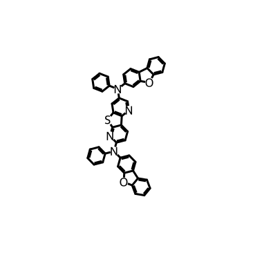 c1ccc(N(c2ccc3c(c2)oc2ccccc23)c2cnc3c(c2)sc2nc(N(c4ccccc4)c4ccc5c(c4)oc4ccccc45)ccc23)cc1